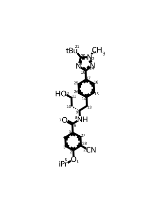 CC(C)Oc1ccc(C(=O)N[C@H](CCO)Cc2ccc(-c3nc(C(C)(C)C)n(C)n3)cc2)cc1C#N